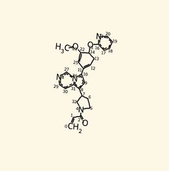 C=CC(=O)N1CCC(c2cc(C3=CCC(Oc4ccccn4)C(OC)=C3)n3cnccc23)C1